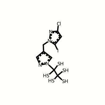 SC(S)(S)C(S)(S)n1cc(Cn2nc(Cl)cc2I)cn1